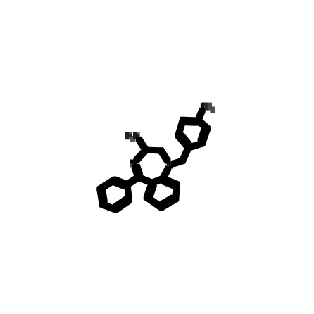 Cc1ccc(CN2CC(N)N=C(c3ccccc3)c3ccccc32)cc1